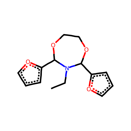 CCN1C(c2ccco2)OCCOC1c1ccco1